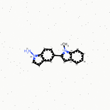 Cn1c(-c2ccc3c(ccn3N)c2)cc2ccccc21